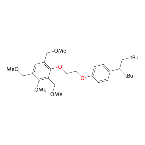 COCc1cc(COC)c(OCCOc2ccc(C(CC(C)(C)C)C(C)(C)C)cc2)c(COC)c1OC